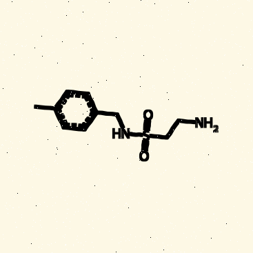 Cc1ccc(CNS(=O)(=O)CCN)cc1